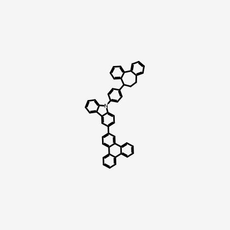 c1ccc2c(c1)CCC(c1ccc(-n3c4ccccc4c4cc(-c5ccc6c7ccccc7c7ccccc7c6c5)ccc43)cc1)c1ccccc1-2